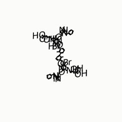 Cc1c(COc2nc(OCc3cnnn3Cc3ccccc3)c(CNC[C@@H](O)CC(=O)O)cc2Br)cccc1-c1cccc(COc2nc(OCc3cnnn3Cc3ccccc3)c(CNC[C@@H](O)CC(=O)O)cc2Br)c1C